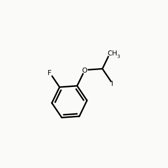 CC(I)Oc1ccccc1F